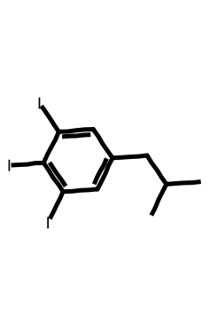 CC(C)Cc1cc(I)c(I)c(I)c1